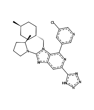 C[C@@H]1CCCN1c1nc2cc(-c3nnn[nH]3)nc(-c3cncc(Cl)c3)c2n1C[C@H]1CC[C@H](C)CC1